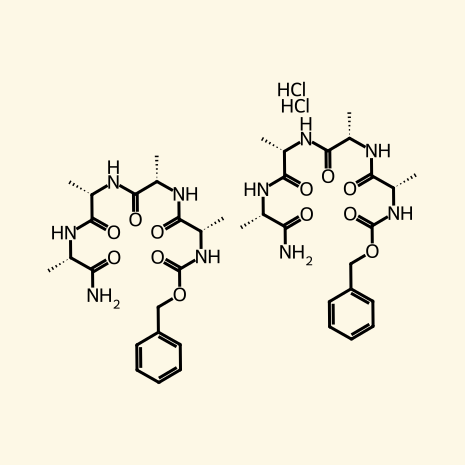 C[C@H](NC(=O)[C@H](C)NC(=O)[C@H](C)NC(=O)[C@H](C)NC(=O)OCc1ccccc1)C(N)=O.C[C@H](NC(=O)[C@H](C)NC(=O)[C@H](C)NC(=O)[C@H](C)NC(=O)OCc1ccccc1)C(N)=O.Cl.Cl